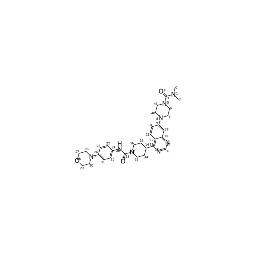 CN(C)C(=O)N1CCN(c2ccc3c(C4CCN(C(=O)Nc5ccc(N6CCOCC6)cc5)CC4)ncnc3c2)CC1